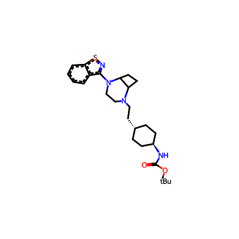 CC(C)(C)OC(=O)N[C@H]1CC[C@H](CCN2CCN(c3nsc4ccccc34)C3CCC32)CC1